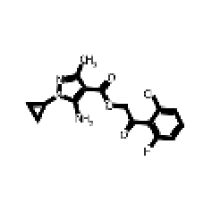 Cc1nn(C2CC2)c(N)c1C(=O)OCC(=O)c1c(F)cccc1Cl